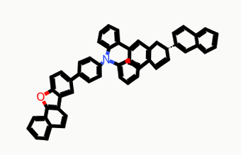 C1=C[C@@H](c2ccc3ccccc3c2)Cc2cc(-c3ccccc3N(c3ccccc3)c3ccc(-c4ccc5oc6c7ccccc7ccc6c5c4)cc3)ccc21